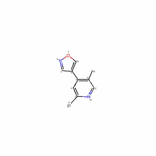 CCc1cc(-c2cnoc2)c(C)cn1